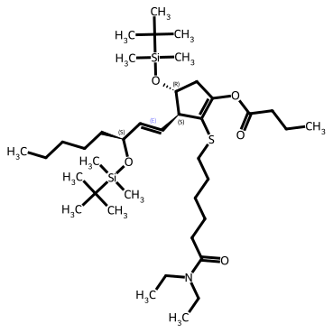 CCCCC[C@@H](/C=C/[C@@H]1C(SCCCCCC(=O)N(CC)CC)=C(OC(=O)CCC)C[C@H]1O[Si](C)(C)C(C)(C)C)O[Si](C)(C)C(C)(C)C